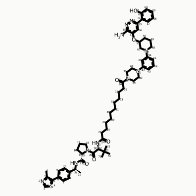 Cc1ncsc1-c1ccc([C@H](C)NC(=O)[C@@H]2CCCN2C(=O)[C@@H](NC(=O)CCCCCCCCCCC(=O)N2CCN(c3cccc(N4CCCC(Oc5cc(-c6ccccc6O)nnc5N)C4)c3)CC2)C(C)(C)C)cc1